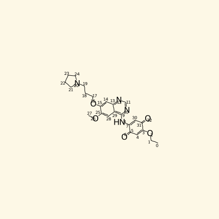 CCOC1=CC(=O)C(Nc2ncnc3cc(OCCCN4CCCC4)c(OC)cc23)=CC1=O